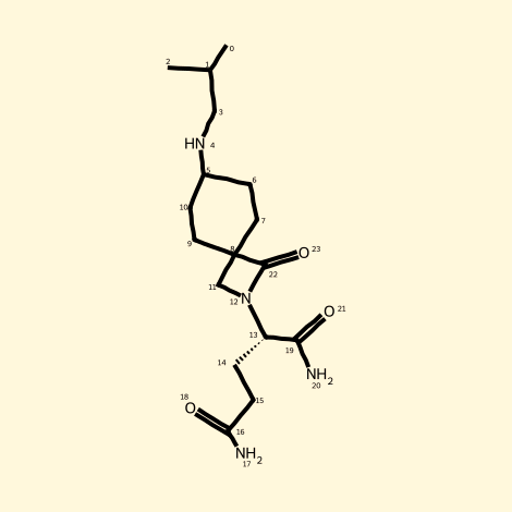 CC(C)CNC1CCC2(CC1)CN([C@@H](CCC(N)=O)C(N)=O)C2=O